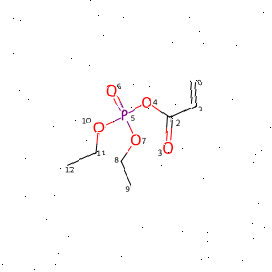 C=CC(=O)OP(=O)(OCC)OCC